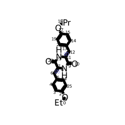 CCOc1ccc(/C=c2\[nH]c(=O)/c(=C/c3ccc(OC(C)C)cc3)[nH]c2=O)cc1